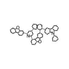 c1ccc(-c2cc(-c3ccc4c(c3)oc3ccccc34)nc(-c3cccc4oc5ccc(-c6ccccc6-c6ccc7c(c6)c6ccccc6n7-c6ccccc6)cc5c34)c2)cc1